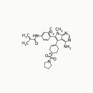 C=C(C)C(=O)Nc1ccc(-c2c(C3=CC[C@H](S(=O)(=O)N4CCCC4)CC3)c3c(N)ncnc3n2C)c(C)c1